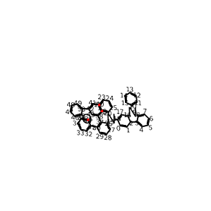 C1=CC2c3ccccc3N(c3ccccc3)C2C=C1N(c1ccccc1)c1cccc(-c2ccccc2)c1-c1cccc2c1oc1ccccc12